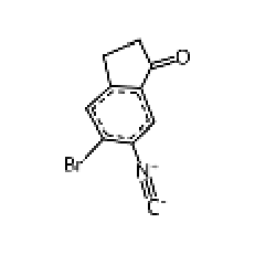 [C-]#[N+]c1cc2c(cc1Br)CCC2=O